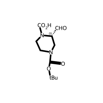 CC(C)(C)OC(=O)N1CCN(C(=O)O)[C@H](C=O)C1